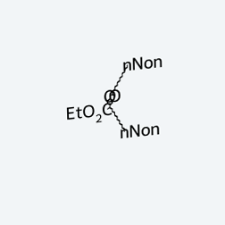 CCCCCCCCCC=CC=CC=CC=CC=CC=CC(=O)Oc1ccc(C(=CC=CC=CC=CC=CC=CCCCCCCCCC)C(=O)OCC)cc1